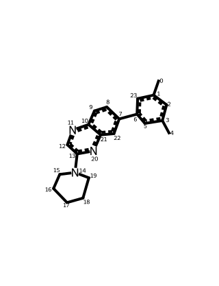 Cc1cc(C)cc(-c2ccc3ncc(N4CCCCC4)nc3c2)c1